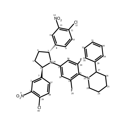 O=[N+]([O-])c1cc([C@H]2CC[C@H](c3ccc(Cl)c([N+](=O)[O-])c3)N2c2cc(F)c(N3CCCCC3c3ccccc3)c(F)c2)ccc1Cl